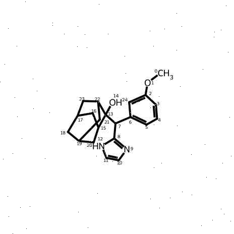 COc1cccc(C(c2ncc[nH]2)C2(O)C3CC4CC(C3)CC2C4)c1